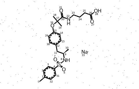 Cc1ccc(S(=O)(=O)N[C@H](C)Cc2ccc(OC(C)(C)C(=O)NCCCC(=O)O)cc2)cc1.[Na]